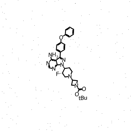 CC(C)(C)OC(=O)N1CC(N2CC[C@H](n3nc(-c4ccc(Oc5ccccc5)cc4)c4c(N)ncnc43)[C@@H](F)C2)C1